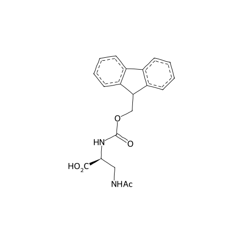 CC(=O)NC[C@H](NC(=O)OCC1c2ccccc2-c2ccccc21)C(=O)O